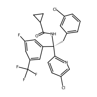 O=C(N[C@](Cc1cccc(Cl)c1)(c1cc(F)cc(C(F)(F)F)c1)c1ccc(Cl)cn1)C1CC1